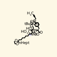 CC#CCOc1ccc(C[C@H](NC(=O)[C@@H](/C=C/CCCCCCC2(CCCCCCC)OCCO2)[C@@](O)(CCO[Si](C)(C)C(C)(C)C)C(=O)O)C(=O)OC)cc1